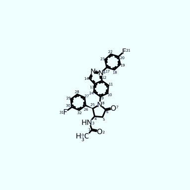 CC(=O)NC1CC(=O)N(c2ccc3c(cnn3-c3ccc(F)cc3)c2)[C@@H]1c1cccc(F)c1